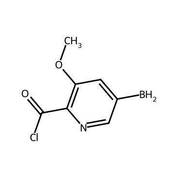 Bc1cnc(C(=O)Cl)c(OC)c1